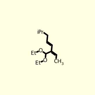 CC=C(C=CCC(C)C)C(OCC)OCC